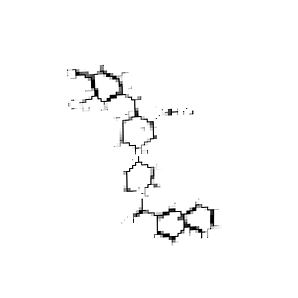 CC(=O)N[C@@H]1CN(C2CCN(C(=O)c3ccc4ncccc4c3)CC2)CCC1Cc1ccc(Cl)c(Cl)c1